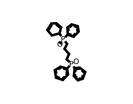 O=P(CCCCP(=O)(c1ccccc1)C1C=CC=CC1)(c1ccccc1)c1ccccc1